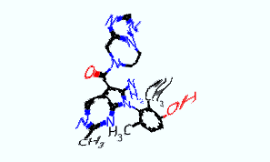 Cc1ncc2c(C(=O)N3CCn4ncnc4C3)c(N)n(-c3c(C)ccc(O)c3C)c2n1